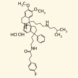 COc1cc2c(cc1OC)C(CCCCNCCC(C)C)(CCCC(CCCNC(=O)CCc1ccc(F)cc1)(c1ccccc1)c1ccccc1)NCC2.Cl.Cl